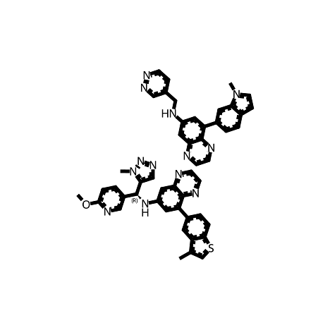 COc1ccc([C@@H](Nc2cc(-c3ccc4scc(C)c4c3)c3nccnc3c2)c2cnnn2C)cn1.Cn1ccc2ccc(-c3cc(NCc4ccnnc4)cc4nccnc34)cc21